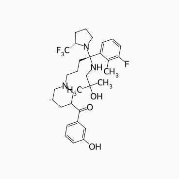 Cc1c(F)cccc1[C@](CCCN1C[CH]CC(C(=O)c2cccc(O)c2)C1)(NCC(C)(C)O)N1CCC[C@H]1C(F)(F)F